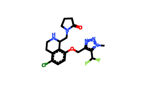 Cn1nnc(COc2ccc(Cl)c3c2C(CN2CCCC2=O)NCC3)c1C(F)F